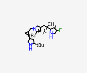 CC(C)(C)C1CC(C2CC2CN2CC(CC(C)(C)C3CC(F)CN3)CC2C(C)(C)C)CN1